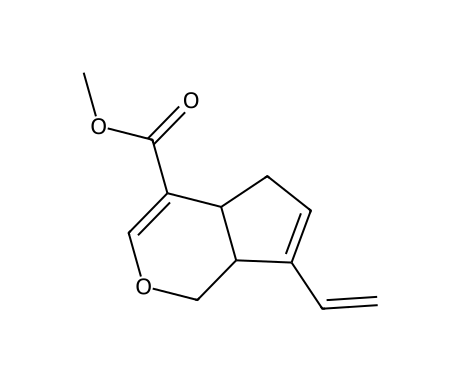 C=CC1=CCC2C(C(=O)OC)=COCC12